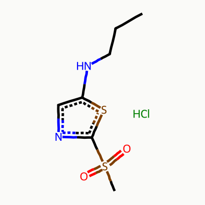 CCCNc1cnc(S(C)(=O)=O)s1.Cl